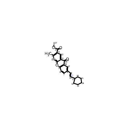 Cc1nc2oc3ccc(/C=C/C4CCCCC4)cc3c(=O)c2cc1C(=O)OI